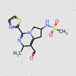 CC1N=C(c2nccs2)N2CC(NS(C)(=O)=O)CC2=C1C=O